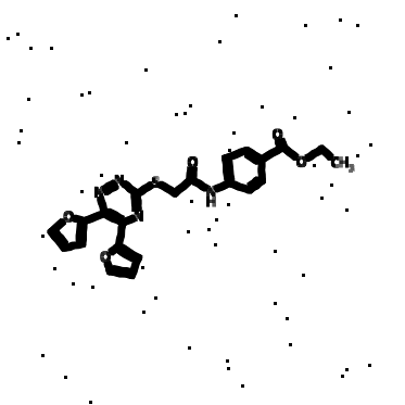 CCOC(=O)c1ccc(NC(=O)CSc2nnc(-c3ccco3)c(-c3ccco3)n2)cc1